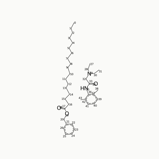 CCCCCCCCCCCCCCCCCC(=O)OCc1ccccc1.CCN(CC)CC(=O)Nc1c(C)cccc1C